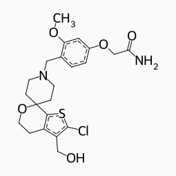 COc1cc(OCC(N)=O)ccc1CN1CCC2(CC1)OCCc1c2sc(Cl)c1CO